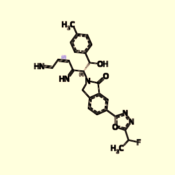 Cc1ccc(C(O)[C@@H](C(=N)/C=C\C=N)N2Cc3ccc(-c4nnc(C(C)F)o4)cc3C2=O)cc1